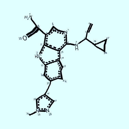 C=CC(Nc1ncc(C(N)=O)c2[nH]c3cc(-c4cnn(C)c4)ccc3c12)C1CC1